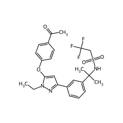 CCn1nc(-c2cccc(C(C)(C)NS(=O)(=O)CC(F)(F)F)c2)cc1Oc1ccc(C(C)=O)cc1